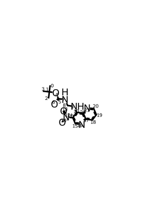 CC(C)(C)OC(=O)NCNc1c([N+](=O)[O-])cnc2cccnc12